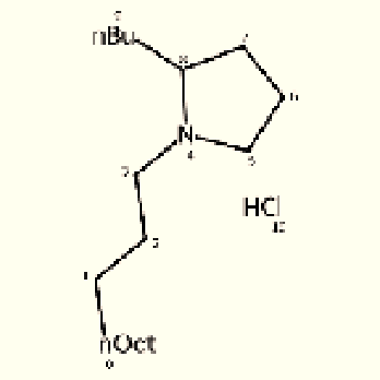 CCCCCCCCCCCN1CCCC1CCCC.Cl